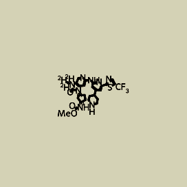 [2H]C([2H])([2H])n1c(=O)n([C@@H]2CC[C@@H](NC(=O)OC)C2)c2cc(Nc3cc(C4CCNCC4)cc(-c4ncc(C(F)(F)F)s4)n3)ncc21